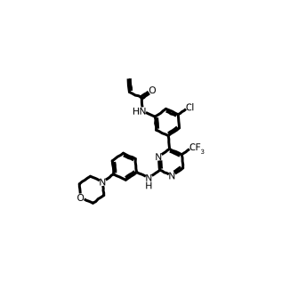 C=CC(=O)Nc1cc(Cl)cc(-c2nc(Nc3cccc(N4CCOCC4)c3)ncc2C(F)(F)F)c1